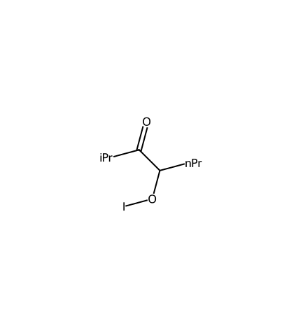 CCCC(OI)C(=O)C(C)C